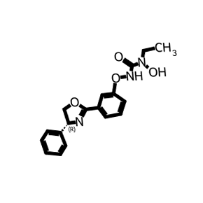 CCN(O)C(=O)NOc1cccc(C2=N[C@H](c3ccccc3)CO2)c1